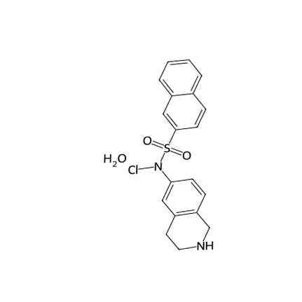 O.O=S(=O)(c1ccc2ccccc2c1)N(Cl)c1ccc2c(c1)CCNC2